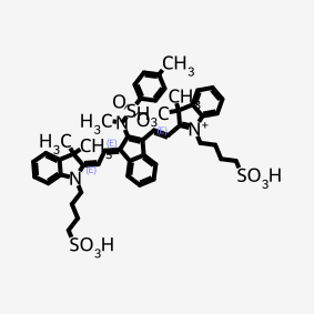 Cc1ccc(S(=O)(=O)N(C)C2=C(/C=C/C3=[N+](CCCCS(=O)(=O)O)c4ccccc4C3(C)C)c3ccccc3/C2=C\C=C2\N(CCCCS(=O)(=O)O)c3ccccc3C2(C)C)cc1